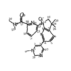 CN1C=C(c2ccc3c(c2)[N+]([O-])(c2cccc(C(=O)N(C)C)n2)CC3(C)C)C=NC1